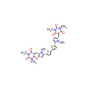 CCCn1c(C=C2C(=O)N(C)C(=O)N(C)C2=O)ccc1-c1ccc(-c2ccc(-c3ccc(C=C4C(=O)N(C)C(=O)N(C)C4=O)n3CCC)s2)s1